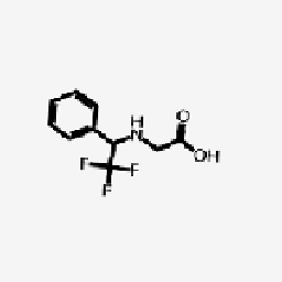 O=C(O)CNC(c1ccccc1)C(F)(F)F